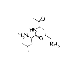 CC(=O)C(CCCN)NC(=O)C(N)CC(C)C